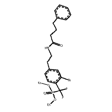 CCOP(=O)(OCC)C(F)(F)c1ccc(CCNC(=O)CCCc2ccccc2)cc1Br